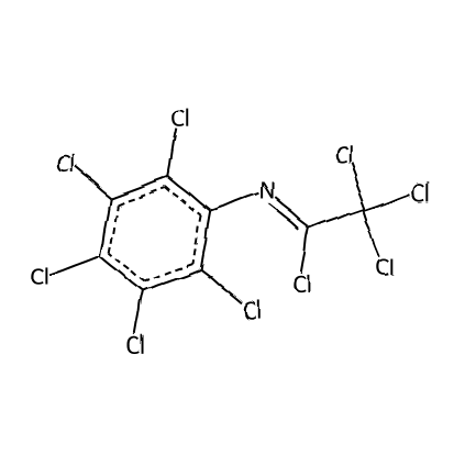 ClC(=Nc1c(Cl)c(Cl)c(Cl)c(Cl)c1Cl)C(Cl)(Cl)Cl